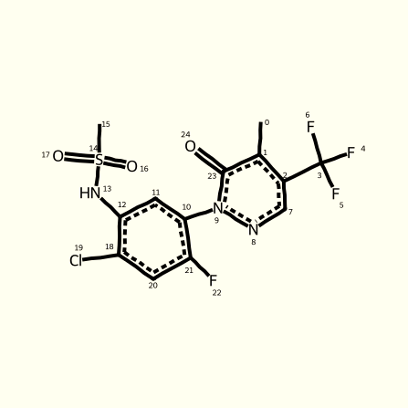 Cc1c(C(F)(F)F)cnn(-c2cc(NS(C)(=O)=O)c(Cl)cc2F)c1=O